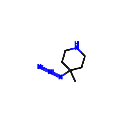 CC1(N=[N+]=[N-])CCNCC1